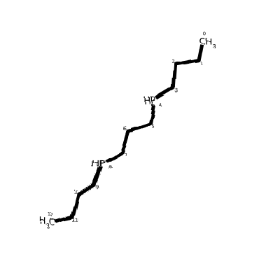 CCCCPCCCPCCCC